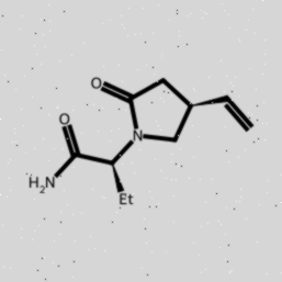 C=C[C@@H]1CC(=O)N([C@@H](CC)C(N)=O)C1